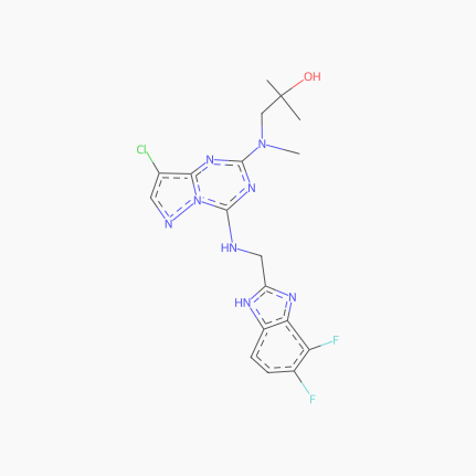 CN(CC(C)(C)O)c1nc(NCc2nc3c(F)c(F)ccc3[nH]2)n2ncc(Cl)c2n1